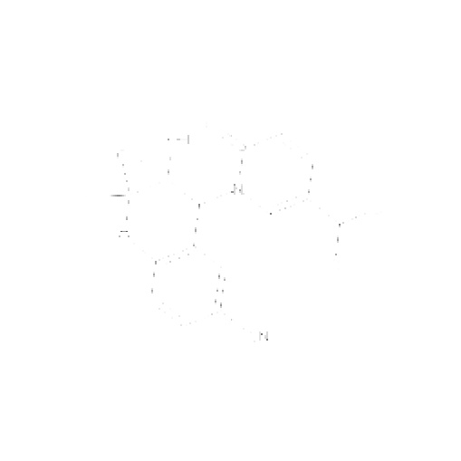 CC1(C)Oc2ccc(C#N)cc2C(n2cc(C(O)O)ccc2=O)C1O